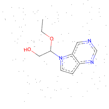 CCOC(CO)n1ccc2ncncc21